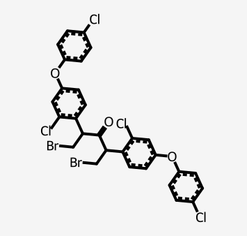 O=C(C(CBr)c1ccc(Oc2ccc(Cl)cc2)cc1Cl)C(CBr)c1ccc(Oc2ccc(Cl)cc2)cc1Cl